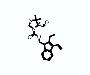 C=CC1=C(CC)C(COC(=O)N2CSC(C)(C)[C@H]2C=O)c2ccccc21